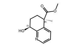 COC(=O)[C@]1(C)CC[C@H](O)c2ncccc21